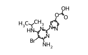 CC(C)Nc1nc(-n2cc(OC(=O)O)cn2)nc(N)c1Br